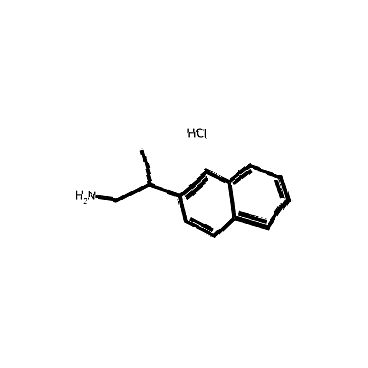 CC(CN)c1ccc2ccccc2c1.Cl